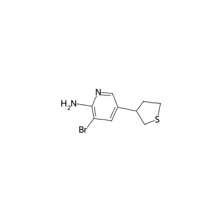 Nc1ncc(C2CCSC2)cc1Br